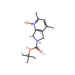 Cc1cc(C)[n+]([O-])c2c1CN(C(=O)OC(C)(C)C)C2